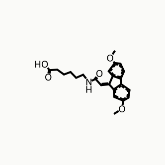 COc1ccc2c(c1)C(=CC(=O)NCCCCCC(=O)O)c1cc(OC)ccc1-2